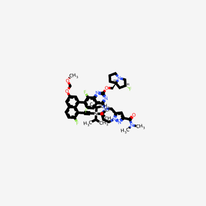 COCOc1cc(-c2c(F)cc3c(N4CCCn5nc(C(=O)N(C)C)cc5C4)nc(OC[C@@]45CCCN4C[C@H](F)C5)nc3c2F)c2c(C#C[Si](C(C)C)(C(C)C)C(C)C)c(F)ccc2c1